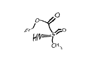 CCOC(=O)S(C)(=N)=O